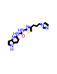 O=C(Nc1ccc2[nH]ccc2n1)Nc1nc(CCCn2ccnc2)cs1